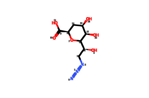 [N-]=[N+]=NC[C@@H](O)C1O[C@@H](C(=O)O)C[C@@H](O)[C@H]1O